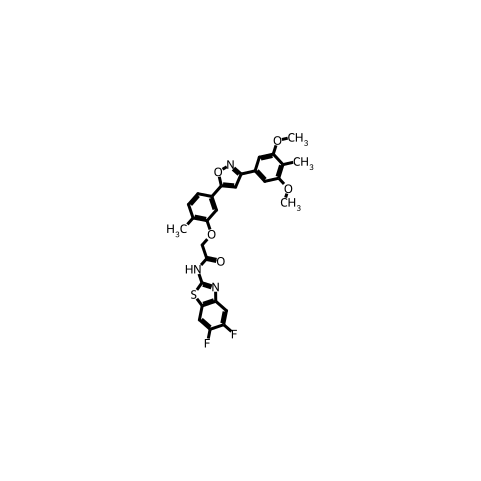 COc1cc(-c2cc(-c3ccc(C)c(OCC(=O)Nc4nc5cc(F)c(F)cc5s4)c3)on2)cc(OC)c1C